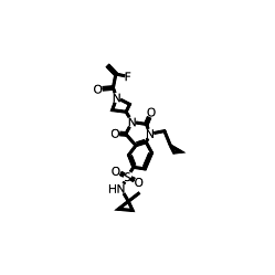 C=C(F)C(=O)N1CC(n2c(=O)c3cc(S(=O)(=O)NC4(C)CC4)ccc3n(CC3CC3)c2=O)C1